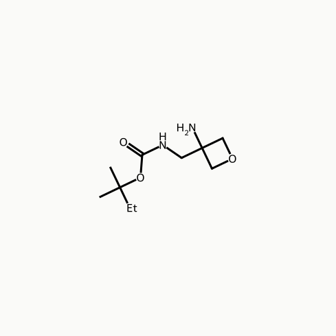 CCC(C)(C)OC(=O)NCC1(N)COC1